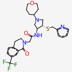 O=C(CN1CCc2ccc(C(F)(F)F)cc2C1=O)NC1CN(C2CCCOCC2)C[C@@H]1SCc1ccccn1